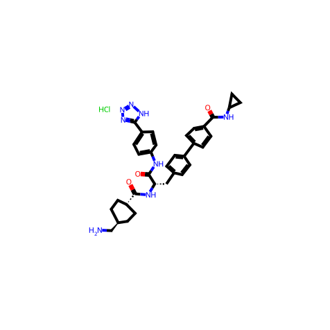 Cl.NC[C@H]1CC[C@H](C(=O)N[C@@H](Cc2ccc(-c3ccc(C(=O)NC4CC4)cc3)cc2)C(=O)Nc2ccc(-c3nnn[nH]3)cc2)CC1